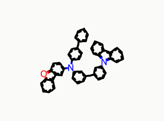 c1ccc(-c2ccc(N(c3cccc(-c4cccc(-n5c6ccccc6c6ccccc65)c4)c3)c3ccc4oc5ccccc5c4c3)cc2)cc1